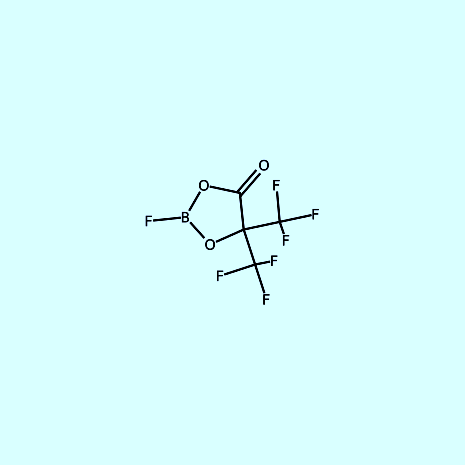 O=C1OB(F)OC1(C(F)(F)F)C(F)(F)F